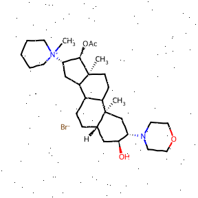 CC(=O)O[C@@H]1[C@@H]([N+]2(C)CCCCC2)CC2C3CC[C@H]4C[C@H](O)[C@@H](N5CCOCC5)C[C@]4(C)C3CC[C@@]21C.[Br-]